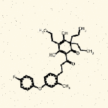 CCCC1=C(O)C(CCC)(CCC)C(=O)C(C(=O)CCc2ccc(Oc3ccc(F)cc3)cc2C)=C1O